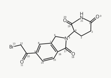 O=C1CCC(N2Cc3cc(C(=O)CBr)ccc3C2=O)C(=O)N1